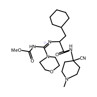 COC(=O)N/C(=N/C(CC1CCCCC1)C(=O)NC1(C#N)CCN(C)CC1)N1CCOCC1